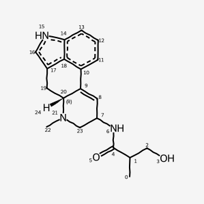 CC(CO)C(=O)NC1C=C2c3cccc4[nH]cc(c34)C[C@H]2N(C)C1